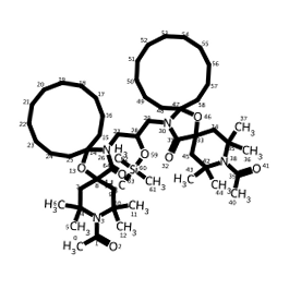 CC(=O)N1C(C)(C)CC2(CC1(C)C)OC1(CCCCCCCCCCC1)N(CC(CN1C(=O)C3(CC(C)(C)N(C(C)=O)C(C)(C)C3)OC13CCCCCCCCCCC3)O[Si](C)(C)C)C2=O